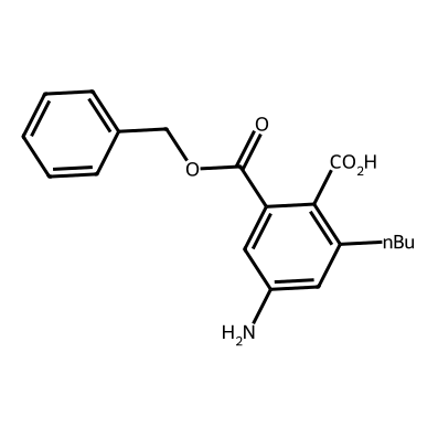 CCCCc1cc(N)cc(C(=O)OCc2ccccc2)c1C(=O)O